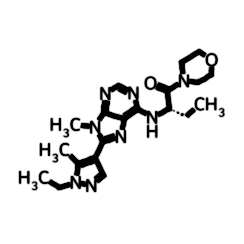 CC[C@H](Nc1ncnc2c1nc(-c1cnn(CC)c1C)n2C)C(=O)N1CCOCC1